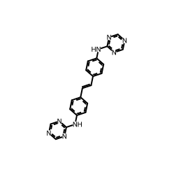 C(=Cc1ccc(Nc2ncncn2)cc1)c1ccc(Nc2ncncn2)cc1